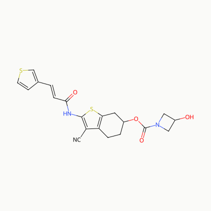 N#Cc1c(NC(=O)C=Cc2ccsc2)sc2c1CCC(OC(=O)N1CC(O)C1)C2